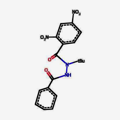 CC(C)(C)N(NC(=O)c1ccccc1)C(=O)c1ccc([N+](=O)[O-])cc1[N+](=O)[O-]